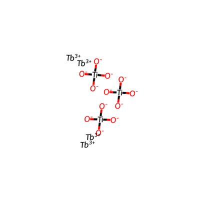 [O-][Ti]([O-])([O-])[O-].[O-][Ti]([O-])([O-])[O-].[O-][Ti]([O-])([O-])[O-].[Tb+3].[Tb+3].[Tb+3].[Tb+3]